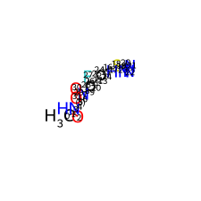 CC(=O)NC[C@H]1CN(c2ccc(-c3ccc(CCSc4cnn[nH]4)cc3)c(F)c2)C(=O)O1